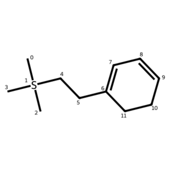 CS(C)(C)CCC1=CC=CCC1